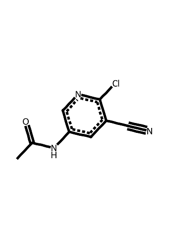 CC(=O)Nc1cnc(Cl)c(C#N)c1